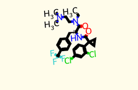 CCN(CCN(C)C)C(=O)[C@H](Cc1ccc(C(F)(F)F)cc1)NC(=O)C1(c2ccc(Cl)cc2Cl)CC1